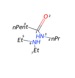 CCCCCC(=O)NCCC.CCNCC